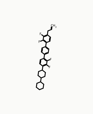 C=CCc1ccc(-c2ccc(-c3ccc(C4CCC(C5CCCCC5)CC4)c(F)c3F)cc2)c(F)c1F